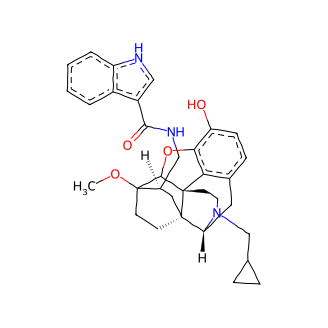 COC12CC[C@@]3(C[C@@H]1CNC(=O)c1c[nH]c4ccccc14)[C@H]1Cc4ccc(O)c5c4[C@@]3(CCN1CC1CC1)C2O5